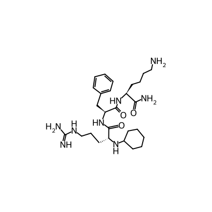 N=C(N)NCCC[C@@H](NC1CCCCC1)C(=O)N[C@@H](Cc1ccccc1)C(=O)N[C@@H](CCCCN)C(N)=O